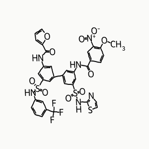 COc1ccc(C(=O)Nc2cc(-c3cc(NC(=O)c4ccco4)cc(S(=O)(=O)Nc4cccc(C(F)(F)F)c4)c3)cc(S(=O)(=O)Nc3nccs3)c2)cc1[N+](=O)[O-]